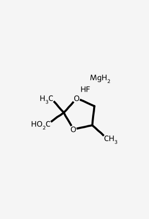 CC1COC(C)(C(=O)O)O1.F.[MgH2]